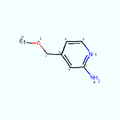 CCOCc1ccnc(N)c1